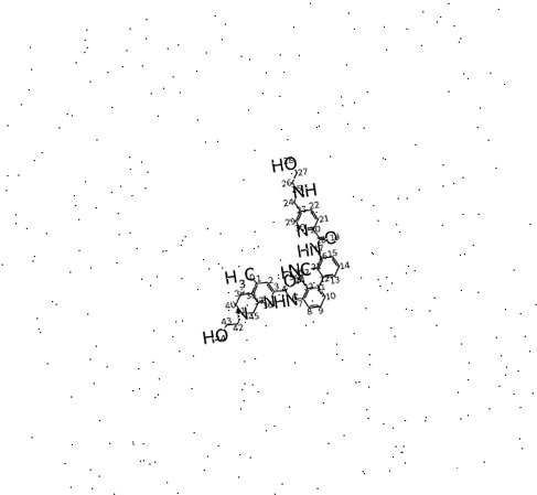 Cc1cc(C(=O)Nc2cccc(-c3cccc(NC(=O)c4ccc(CNCCO)cn4)c3C)c2C#N)nc2c1CCN(CCO)C2